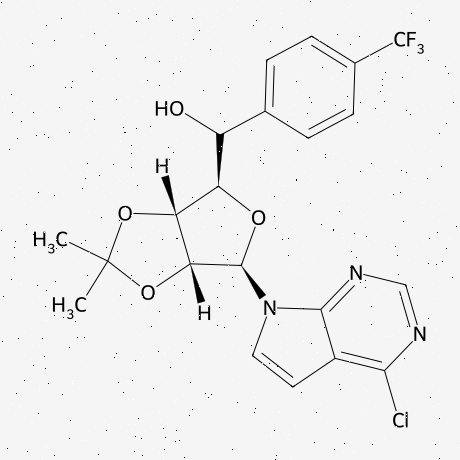 CC1(C)O[C@@H]2[C@H](O1)[C@@H](C(O)c1ccc(C(F)(F)F)cc1)O[C@H]2n1ccc2c(Cl)ncnc21